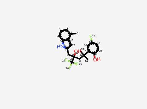 Cc1cccc2[nH]c(CC(O)(CC(C)(C)c3cc(F)ccc3O)C(F)(F)F)cc12